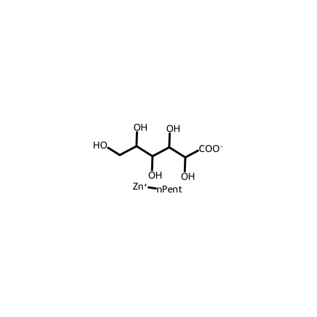 CCCC[CH2][Zn+].O=C([O-])C(O)C(O)C(O)C(O)CO